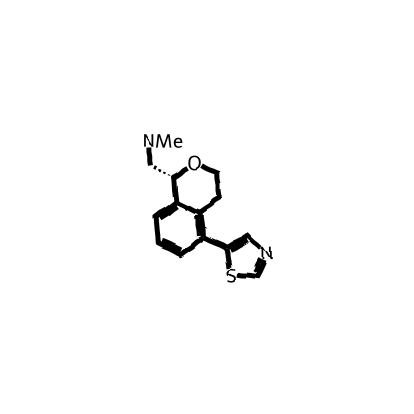 CNC[C@@H]1OCCc2c(-c3cncs3)cccc21